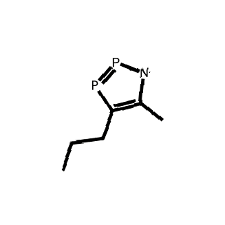 CCCC1=C(C)[N]P=P1